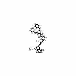 COc1cc(OC[C@H](O)CN2CCCC(C(=O)NC(CCCc3ccccc3)CCCc3ccccc3)C2)cc(CO)c1OC